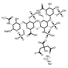 CC(=O)N[C@@H]1[C@@H](O)[C@H](O[C@@H]2O[C@H](C(=O)O)[C@@H](O[C@@H]3O[C@H](CO)[C@@H](O[C@H]4O[C@@H](C(=O)O)[C@H](O)[C@@H](O)[C@@H]4OS(=O)(=O)O)[C@H](OS(=O)(=O)O)[C@H]3NS(=O)(=O)O)[C@H](O)[C@H]2OS(=O)(=O)O)[C@H](COS(=O)(=O)O)O[C@H]1O.O.O.O=C([O-])CC(O)(CC(=O)[O-])C(=O)[O-].[Na+].[Na+].[Na+]